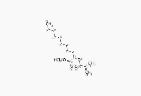 C=C(C)C(=O)OC(CCCCCCCCC)C(=O)S.Cl